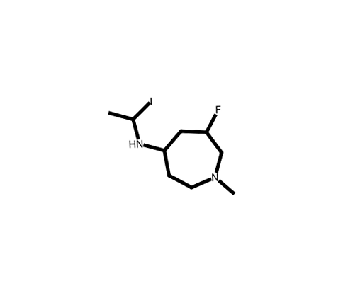 CC(I)NC1CCN(C)CC(F)C1